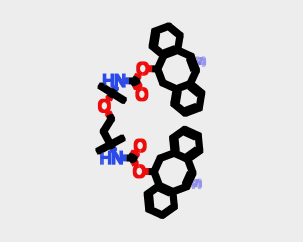 CC(C)(CCOC(C)(C)NC(=O)OC1Cc2ccccc2/C=C\C2=C1C=CCC2)NC(=O)OC1Cc2ccccc2/C=C\C2=C1C=CCC2